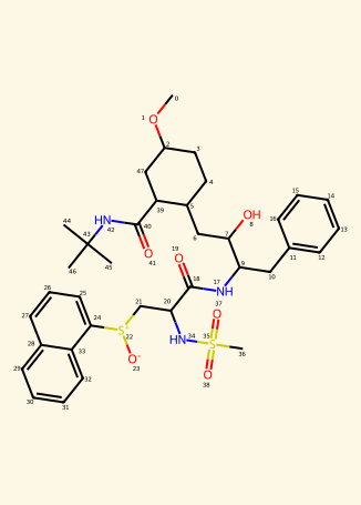 COC1CCC(CC(O)C(Cc2ccccc2)NC(=O)C(C[S+]([O-])c2cccc3ccccc23)NS(C)(=O)=O)C(C(=O)NC(C)(C)C)C1